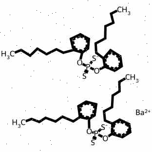 CCCCCCCc1ccccc1OP(=S)([S-])Oc1ccccc1CCCCCCC.CCCCCCCc1ccccc1OP(=S)([S-])Oc1ccccc1CCCCCCC.[Ba+2]